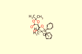 CC1(C)OC(=O)C(=C(C=O)O[Si](c2ccccc2)(c2ccccc2)C(C)(C)C)O1